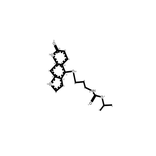 CC(C)OC(=O)NCCCOc1c2ccoc2cc2oc(=O)ccc12